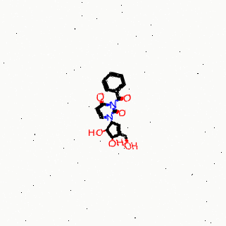 O=C(c1ccccc1)n1c(=O)ccn([C@@H]2C=C(CO)[C@@H](O)[C@H]2O)c1=O